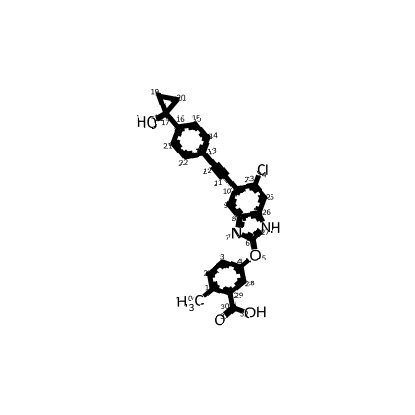 Cc1ccc(Oc2nc3cc(C#Cc4ccc(C5(O)CC5)cc4)c(Cl)cc3[nH]2)cc1C(=O)O